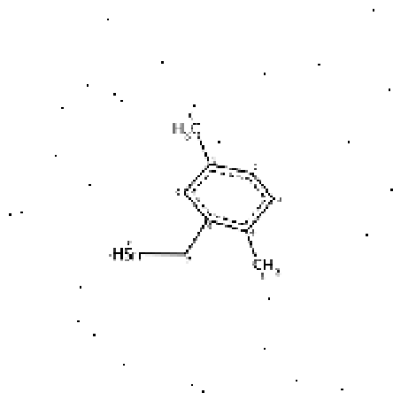 Cc1ccc(C)c([CH2][SnH])c1